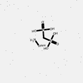 CCCCCCN.O=P(O)(O)CP(=O)(O)O